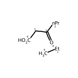 CCC.CCCC(=O)CC(=O)O